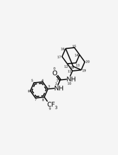 O=C(Nc1ccccc1C(F)(F)F)NC1C2CC3CC(C2)CC1C3